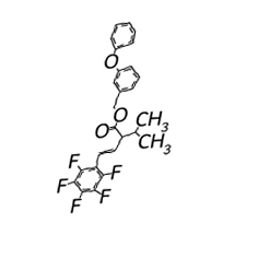 CC(C)C(C=Cc1c(F)c(F)c(F)c(F)c1F)C(=O)OCc1cccc(Oc2ccccc2)c1